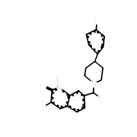 Cc1cc2ccc(C(C)N3CCC(c4ccc(Cl)cc4)CC3)cc2[nH]c1=O